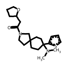 CN(C)C1(c2cccs2)CCC2(CCN(C(=O)CC3CCCO3)C2)CC1